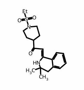 CCS(=O)(=O)N1CCC(C(=O)C=C2NC(C)(C)Cc3ccccc32)CC1